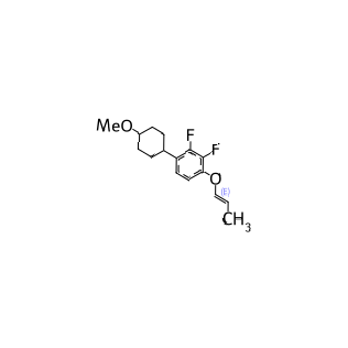 C/C=C/Oc1ccc(C2CCC(OC)CC2)c(F)c1F